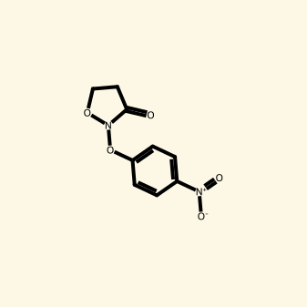 O=C1CCON1Oc1ccc([N+](=O)[O-])cc1